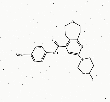 COc1ccc(NC(=O)c2cc(N3CCC(F)CC3)nc3c2CCOCC3)nc1